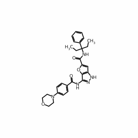 CCC(CC)(NC(=O)c1cc2[nH]nc(NC(=O)c3ccc(N4CCOCC4)cc3)c2o1)c1ccccc1